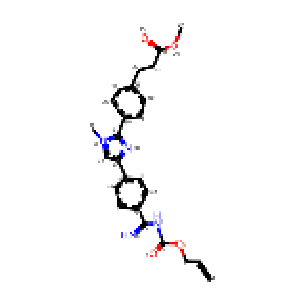 C=CCOC(=O)NC(=N)c1ccc(-c2cn(C)c(-c3ccc(CCC(=O)OC)cc3)n2)cc1